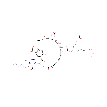 COC(=O)N1C2=C3NC(=O)/C(C)=C\C=C\[C@H](C)[C@H](OC(=O)CN(CCCCC(P(=O)(O)O)P(=O)(O)O)CCOC(C)=O)[C@@H](C)[C@@H](O)[C@@H](C)[C@H](OC(C)=O)[C@H](C)[C@@H](OC)/C=C/O[C@@]4(C)Oc5c(C)c(O)c(c(c5C4=O)C2=NC12CCN(CC(C)C)CC2)C3=O